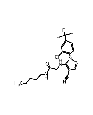 CCCCCNC(=O)CNc1c(C#N)cnn1-c1ccc(C(F)(F)F)cc1Cl